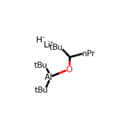 CCCC([O][Al]([C](C)(C)C)[C](C)(C)C)C(C)(C)C.[H-].[Li+]